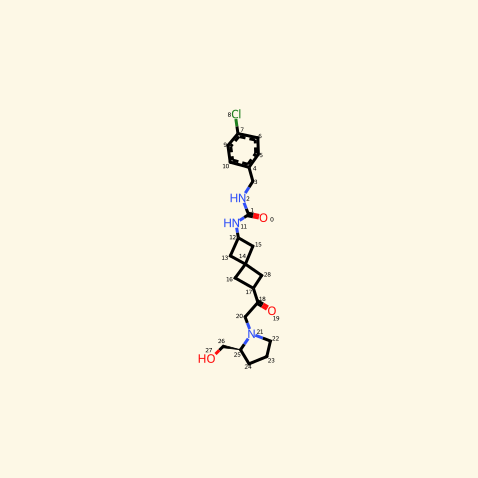 O=C(NCc1ccc(Cl)cc1)NC1CC2(C1)CC(C(=O)CN1CCC[C@H]1CO)C2